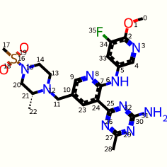 COc1ncc(Nc2ncc(CN3CCN(S(C)(=O)=O)C[C@H]3C)cc2-c2nc(C)nc(N)n2)cc1F